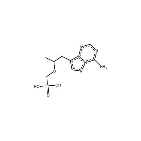 CC(Cc1cnn2c(N)ncnc12)OCP(=O)(O)O